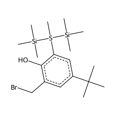 CC(C)(C)c1cc(CBr)c(O)c(S(C)([Si](C)(C)C)[Si](C)(C)C)c1